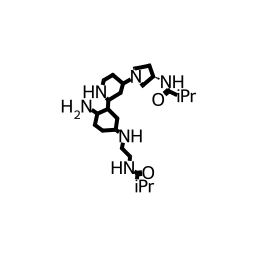 CC(C)C(=O)NCCNC1CCC(N)C(C2CC(N3CC[C@H](NC(=O)C(C)C)C3)CCN2)C1